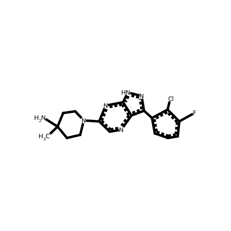 CC1(N)CCN(c2cnc3c(-c4cccc(F)c4Cl)n[nH]c3n2)CC1